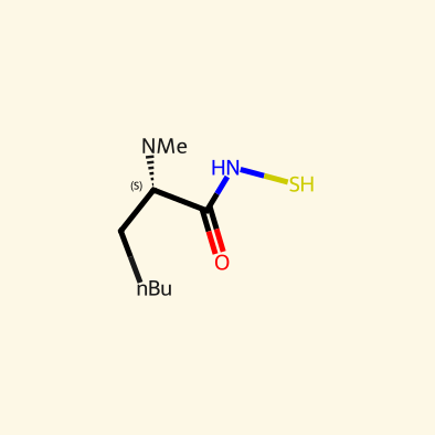 CCCCC[C@H](NC)C(=O)NS